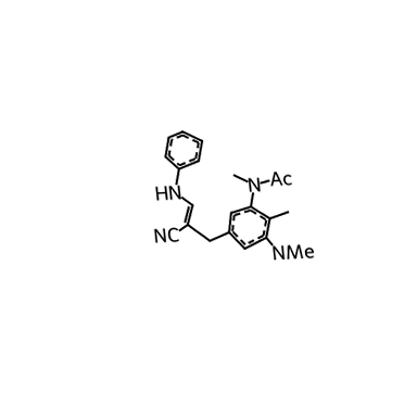 CNc1cc(CC(C#N)=CNc2ccccc2)cc(N(C)C(C)=O)c1C